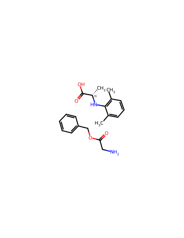 Cc1cccc(C)c1N[C@@H](C)C(=O)O.NCC(=O)OCc1ccccc1